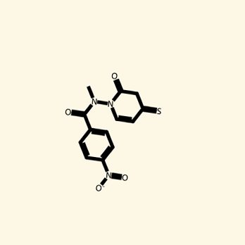 CN(C(=O)c1ccc([N+](=O)[O-])cc1)N1C=CC(=S)CC1=O